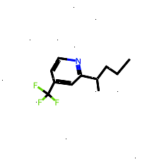 CCCC(C)c1cc(C(F)(F)F)ccn1